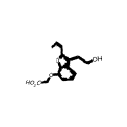 C/C=C\c1oc2c(OCC(=O)O)cccc2c1CCO